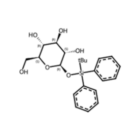 CC(C)(C)[Si](O[C@H]1O[C@@H](CO)[C@H](O)[C@@H](O)[C@@H]1O)(c1ccccc1)c1ccccc1